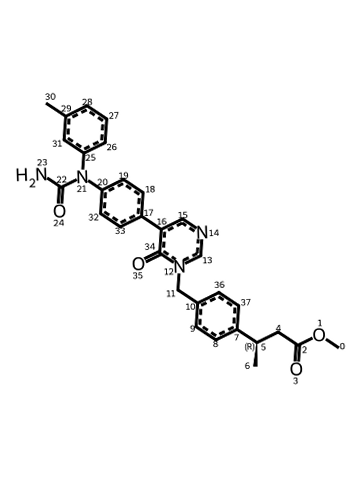 COC(=O)C[C@@H](C)c1ccc(Cn2cncc(-c3ccc(N(C(N)=O)c4cccc(C)c4)cc3)c2=O)cc1